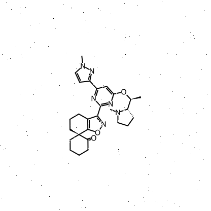 C[C@H](Oc1cc(-c2ccn(C)n2)nc(-c2noc3c2CCC[C@@]32CCCCC2=O)n1)[C@@H]1CCCN1C